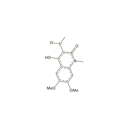 COc1cc2c(O)c([S+](C)[O-])c(=O)n(C)c2cc1OC